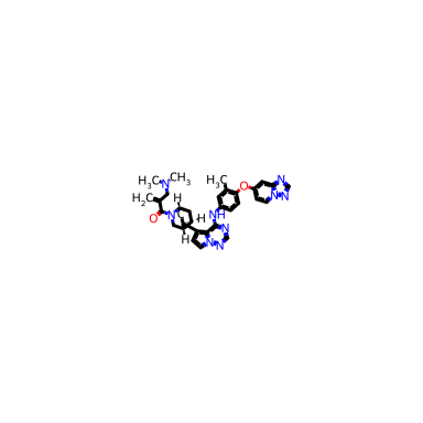 C=C(CN(C)C)C(=O)N1C[C@H]2CC[C@@H]1C[C@H]2c1ccn2ncnc(Nc3ccc(Oc4ccn5ncnc5c4)c(C)c3)c12